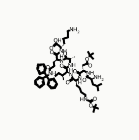 CC[C@H](C)[C@H](NC(=O)[C@H](CCCCNC(=O)OC(C)(C)C)NC(=O)[C@H](CC(=O)OC(C)(C)C)NC(=O)[C@@H](N)CC(C)C)C(=O)N[C@@H](C)C(=O)N[C@@H](CCC(=O)NC(c1ccccc1)(c1ccccc1)c1ccccc1)C(=O)N[C@@H](CCCCN)C(=O)O